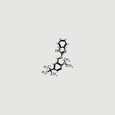 CN(C)c1ccc(C(C)(C)C)cc1CSc1nc2ccccc2[nH]1